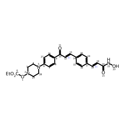 CCOC(=O)ON1CCN(c2ccc(C(=O)/C=C/c3ccc(/C=C/C(=O)NO)cc3)cc2)CC1